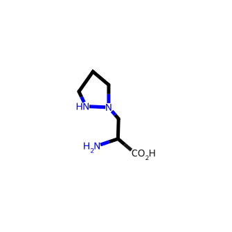 NC(CN1CCCN1)C(=O)O